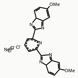 COC1=CC2=NC(c3cccc(C4=NC5C=CC(OC)=CC5=N4)n3)=NC2C=C1.[Cl-].[Cl-].[Cl-].[Nd+3]